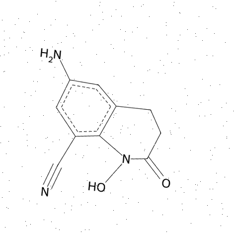 N#Cc1cc(N)cc2c1N(O)C(=O)CC2